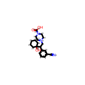 N#Cc1cccc(C(CN2CCN(C(=O)O)CC2)C2(O)CCCCC2)c1